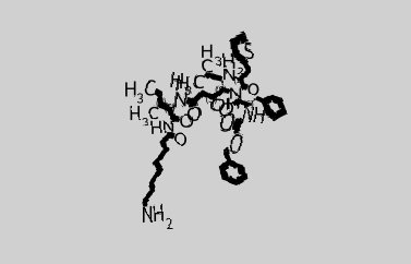 CC[C@H](C)[C@H](NC(=O)C[C@H](O)[C@H](CC(C)C)N(C(=O)[C@H](Cc1ccccc1)NC(=O)OCc1ccccc1)C(=O)[C@@H](N)Cc1cccs1)C(=O)NC(=O)CCCCCCCN